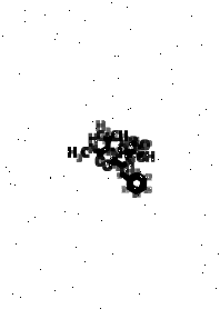 CNC(=O)[C@@H](NC(=O)[C@H](Cc1ccccc1)NC(=O)P(=O)(O)O)C(C)C